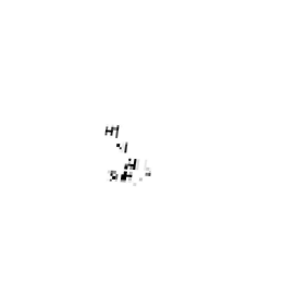 [AlH3].[Hf].[Ni].[SnH2]